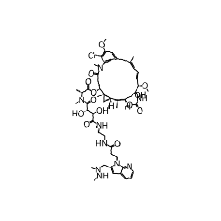 CNN(C)Cc1cc2cccnc2n1CCC(=O)NCCNC(=O)[C@H](O)[C@H](O)C(=O)N(C)[C@@H](C)C(=O)O[C@H]1CC(=O)N(C)c2cc(cc(OC)c2Cl)C/C(C)=C/C=C/[C@@H](OC)[C@@]2(O)C[C@H](OC(=O)N2)[C@@H](C)[C@@H]2C[C@]12C